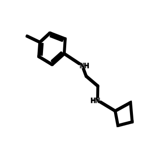 Cc1ccc(NCCNC2CCC2)cc1